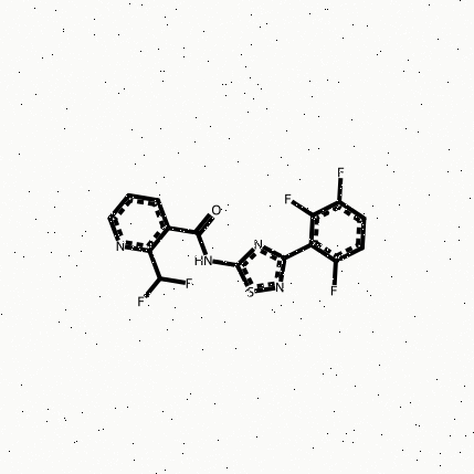 O=C(Nc1nc(-c2c(F)ccc(F)c2F)ns1)c1cccnc1C(F)F